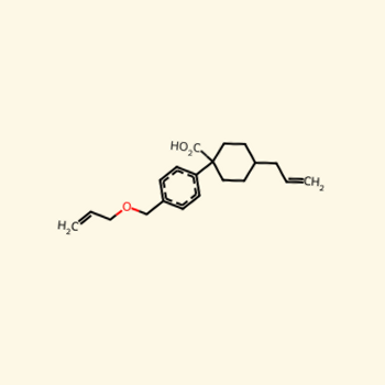 C=CCOCc1ccc(C2(C(=O)O)CCC(CC=C)CC2)cc1